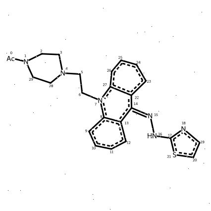 CC(=O)N1CCN(CCn2c3ccccc3c(=NNc3nccs3)c3ccccc32)CC1